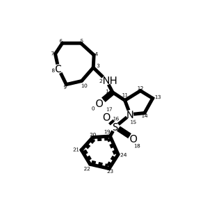 O=C(NC1CCCCCCC1)C1CCCN1S(=O)(=O)c1ccccc1